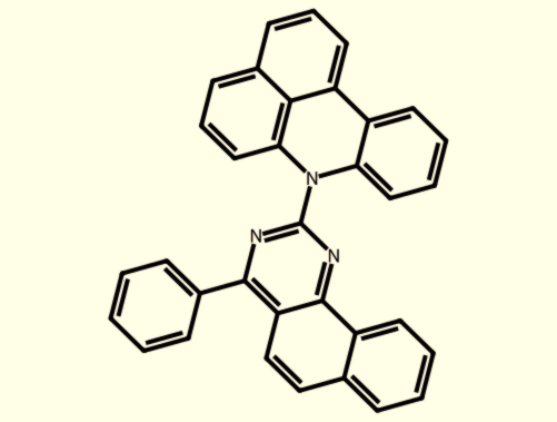 c1ccc(-c2nc(N3c4ccccc4-c4cccc5cccc3c45)nc3c2ccc2ccccc23)cc1